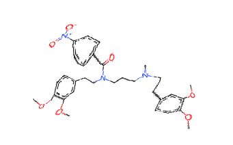 COc1ccc(CCN(C)CCCN(CCc2ccc(OC)c(OC)c2)C(=O)c2ccc([N+](=O)[O-])cc2)cc1OC